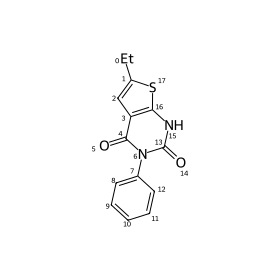 CCc1cc2c(=O)n(-c3ccccc3)c(=O)[nH]c2s1